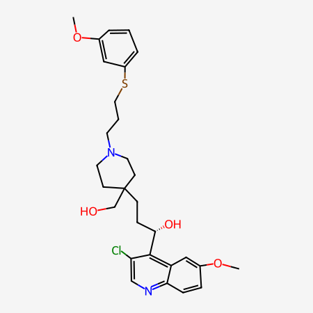 COc1cccc(SCCCN2CCC(CO)(CC[C@H](O)c3c(Cl)cnc4ccc(OC)cc34)CC2)c1